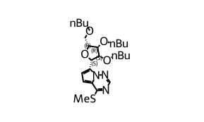 CCCCOC[C@H]1O[C@@H](c2ccc3c(SC)ncnn23)[C@H](OCCCC)[C@@H]1OCCCC